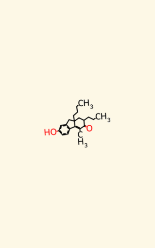 CCCCC12Cc3cc(O)ccc3C1=C(C)C(=O)C(CCC)C2